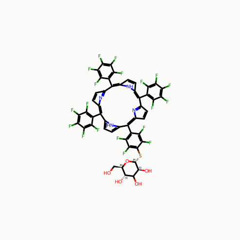 OC[C@H]1O[C@H](Sc2c(F)c(F)c(-c3c4nc(c(-c5c(F)c(F)c(F)c(F)c5F)c5ccc([nH]5)c(-c5c(F)c(F)c(F)c(F)c5F)c5nc(c(-c6c(F)c(F)c(F)c(F)c6F)c6ccc3[nH]6)C=C5)C=C4)c(F)c2F)[C@@H](O)C(O)[C@@H]1O